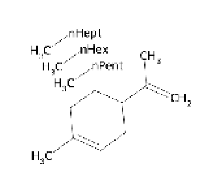 C=C(C)C1CC=C(C)CC1.CCCCCC.CCCCCCC.CCCCCCCC